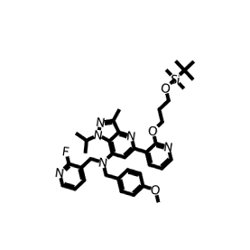 COc1ccc(CN(Cc2cccnc2F)c2cc(-c3cccnc3OCCCO[Si](C)(C)C(C)(C)C)nc3c(C)nn(C(C)C)c23)cc1